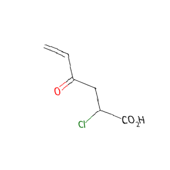 C=CC(=O)CC(Cl)C(=O)O